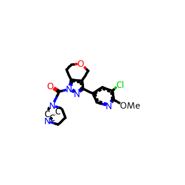 COc1ncc(-c2nn(C(=O)N3CCN4CCC3CC4)c3c2COCC3)cc1Cl